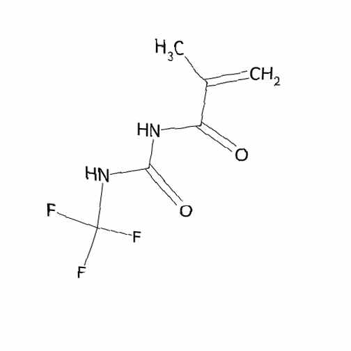 C=C(C)C(=O)NC(=O)NC(F)(F)F